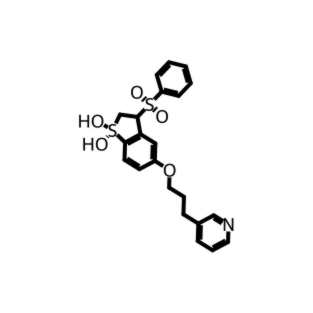 O=S(=O)(c1ccccc1)C1CS(O)(O)c2ccc(OCCCc3cccnc3)cc21